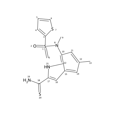 C=S(=O)(c1cccs1)N(C)c1cc(C)cc2cc(C(N)=S)[nH]c12